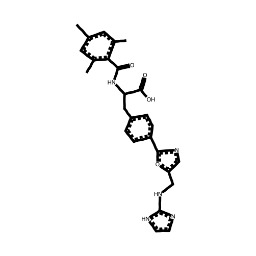 Cc1cc(C)c(C(=O)NC(Cc2ccc(-c3ncc(CNc4ncc[nH]4)o3)cc2)C(=O)O)c(C)c1